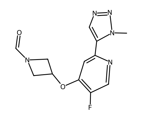 Cn1nncc1-c1cc(OC2CN(C=O)C2)c(F)cn1